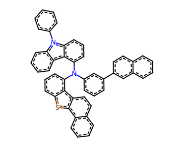 c1ccc(-n2c3ccccc3c3c(N(c4cccc(-c5ccc6ccccc6c5)c4)c4cccc5sc6c7ccccc7ccc6c45)cccc32)cc1